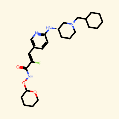 O=C(NOC1CCCCO1)C(F)=Cc1ccc(N[C@@H]2CCCN(CC3CCCCC3)C2)nc1